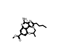 CCCCc1nc2c(N)nc3cc(C(=O)OC)ccc3c2n1CC(C)O